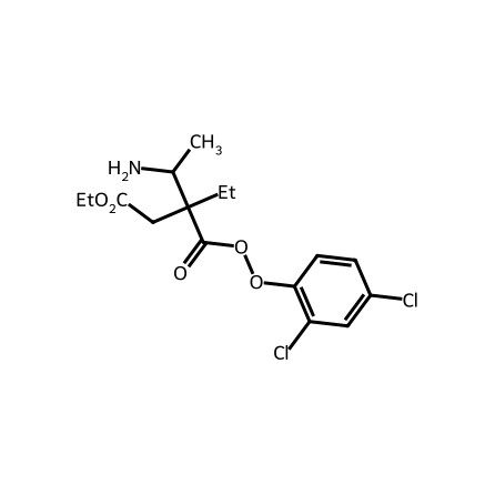 CCOC(=O)CC(CC)(C(=O)OOc1ccc(Cl)cc1Cl)C(C)N